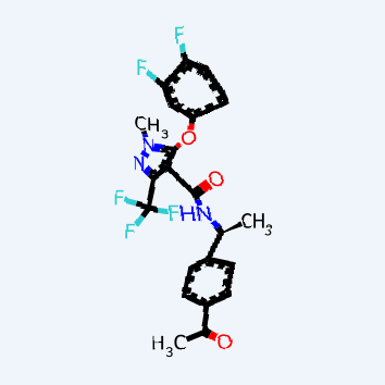 CC(=O)c1ccc([C@H](C)NC(=O)c2c(C(F)(F)F)nn(C)c2Oc2ccc(F)c(F)c2)cc1